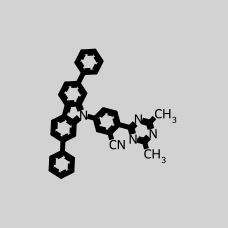 Cc1nc(C)nc(-c2ccc(-n3c4cc(-c5ccccc5)ccc4c4ccc(-c5ccccc5)cc43)cc2C#N)n1